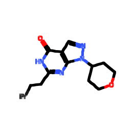 CC(C)CCc1nc2c(cnn2C2CCOCC2)c(=O)[nH]1